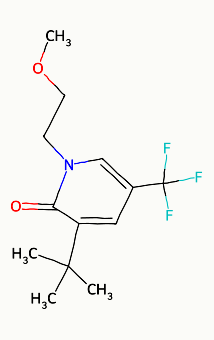 COCCn1cc(C(F)(F)F)cc(C(C)(C)C)c1=O